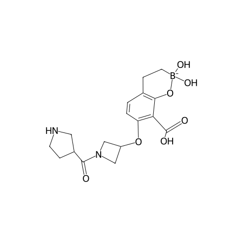 O=C(O)c1c(OC2CN(C(=O)C3CCNC3)C2)ccc2c1O[B-](O)(O)CC2